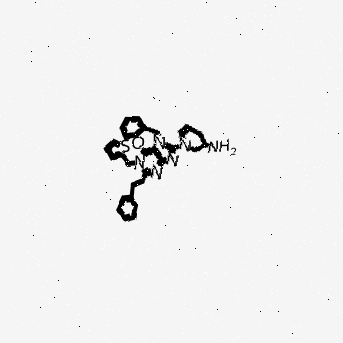 NC1CCCN(c2nc3nc(CCc4ccccc4)n(Cc4cccs4)c(=O)c3n2Cc2ccccc2)C1